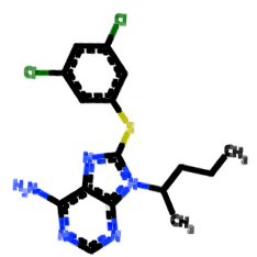 CCCC(C)n1c(Sc2cc(Cl)cc(Cl)c2)nc2c(N)ncnc21